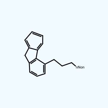 CCCCCCCCCCCCc1cccc2c1-c1ccccc1[CH]2